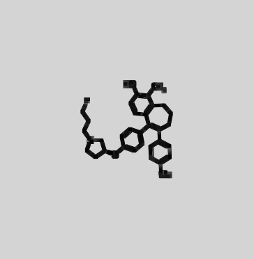 Cc1c(O)ccc2c1CCCC(c1ccc(C(C)(C)C)cc1)=C2c1ccc(O[C@H]2CCN(CCCF)C2)cc1